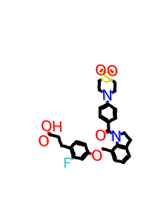 O=C(O)CCc1ccc(OCc2cccc3c2N(C(=O)c2ccc(N4CCS(=O)(=O)CC4)cc2)CC3)cc1F